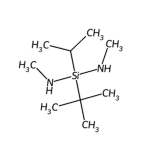 CN[Si](NC)(C(C)C)C(C)(C)C